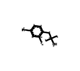 CC(C)c1ccc(CC(C)(C)O)c(F)c1